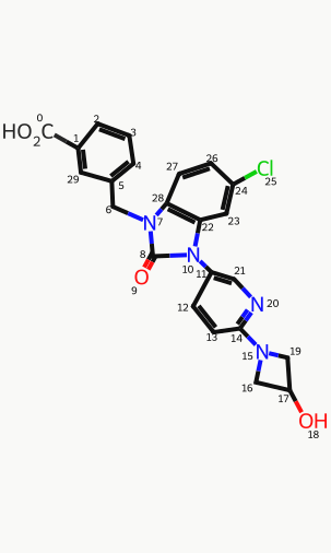 O=C(O)c1cccc(Cn2c(=O)n(-c3ccc(N4CC(O)C4)nc3)c3cc(Cl)ccc32)c1